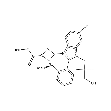 CO[C@@H](C)c1ncccc1-c1c(CC(C)(C)CO)c2cc(Br)ccc2n1C1CN(C(=O)OC(C)(C)C)C1